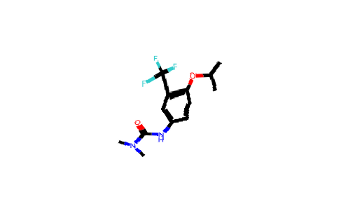 CC(C)Oc1ccc(NC(=O)N(C)C)cc1C(F)(F)F